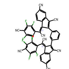 N#CC1=C(c2cccc(C3=C(C#N)c4cc(C#N)ccc4/C3=C(/C#N)c3c(F)c(F)c(C#N)c(F)c3F)c2)/C(=C(\C#N)c2c(F)c(F)c(C#N)c(F)c2F)c2ccc(C#N)cc21